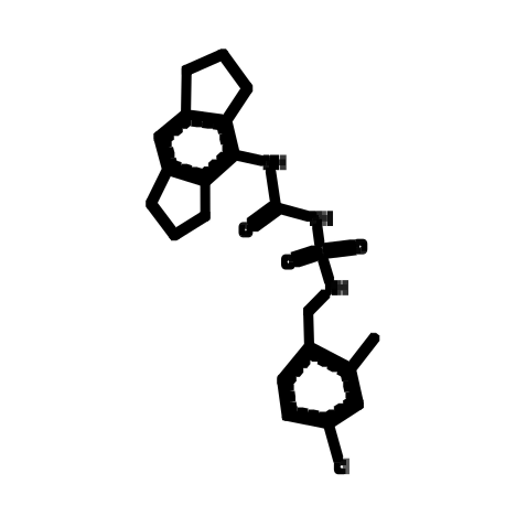 Cc1cc(Cl)ccc1CNS(=O)(=O)NC(=O)Nc1c2c(cc3c1CCC3)CCC2